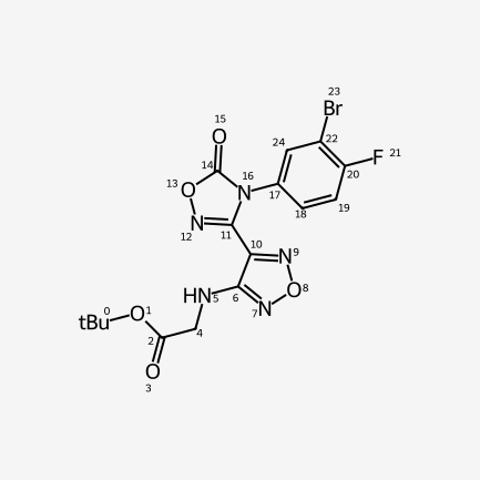 CC(C)(C)OC(=O)CNc1nonc1-c1noc(=O)n1-c1ccc(F)c(Br)c1